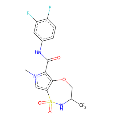 Cn1cc2c(c1C(=O)Nc1ccc(F)c(F)c1)OCC(C(F)(F)F)NS2(=O)=O